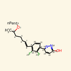 CCCCCOC(C)CCCC=Cc1ccc(-c2ccc(O)nn2)c(F)c1F